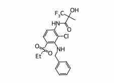 CCS(=O)(=O)c1ccc(NC(=O)C(C)(O)C(F)(F)F)c(Cl)c1NCc1ccccc1